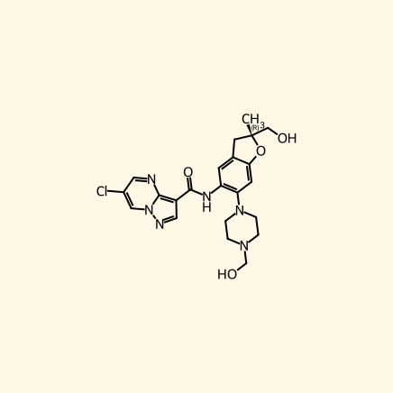 C[C@]1(CO)Cc2cc(NC(=O)c3cnn4cc(Cl)cnc34)c(N3CCN(CO)CC3)cc2O1